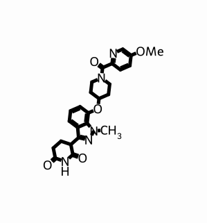 COc1ccc(C(=O)N2CCC(Oc3cccc4c(C5CCC(=O)NC5=O)nn(C)c34)CC2)nc1